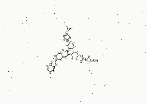 O=C(O[C@H]1CC[C@H](C(=O)N(C[C@H]2CC[C@H](c3cc4ccccn4c3)CC2)c2cccc(-c3cnc(C4CC4)s3)c2)CC1)N1CC(O)C1